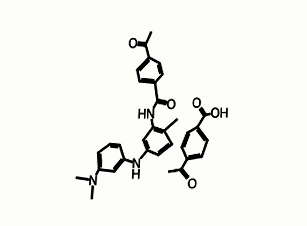 CC(=O)c1ccc(C(=O)Nc2cc(Nc3cccc(N(C)C)c3)ccc2C)cc1.CC(=O)c1ccc(C(=O)O)cc1